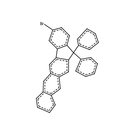 Brc1ccc2c(c1)-c1cc3cc4ccccc4cc3cc1C2(c1ccccc1)c1ccccc1